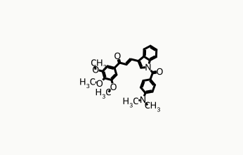 COc1cc(C(=O)C=Cc2cn(C(=O)c3ccc(N(C)C)cc3)c3ccccc23)cc(OC)c1OC